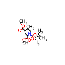 C=C1CN(C(=O)OC(C)(C)C)C(C(=O)OC)CC1C(=O)OCC